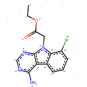 CCOC(=O)Cn1c2ncnc(N)c2c2cccc(Br)c21